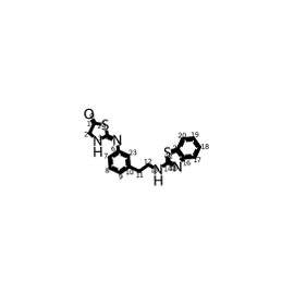 O=C1CN/C(=N\c2cccc(CCNc3nc4ccccc4s3)c2)S1